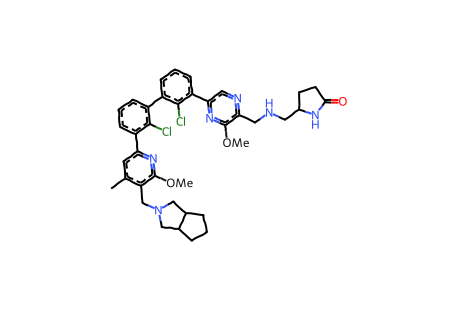 COc1nc(-c2cccc(-c3cccc(-c4cc(C)c(CN5CC6CCCC6C5)c(OC)n4)c3Cl)c2Cl)cnc1CNCC1CCC(=O)N1